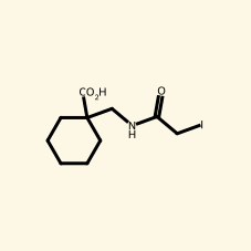 O=C(CI)NCC1(C(=O)O)CCCCC1